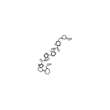 Cc1c(NC(=O)c2ccc(CN3CC[C@@H](O)C3)cn2)cccc1-c1cccc(NC(=O)c2cc3n(n2)CCC[C@H]3N2CCCC[C@@H]2CO)c1C